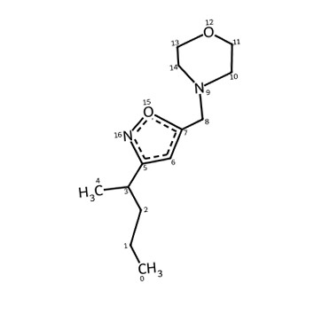 CCCC(C)c1cc(CN2CCOCC2)on1